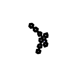 C(=C\c1ccccc1N(c1ccc(-c2ccc(-c3ccccc3)cc2)cc1)c1ccc(-c2ccc(-c3ccccc3)cc2)cc1)/c1ccccc1